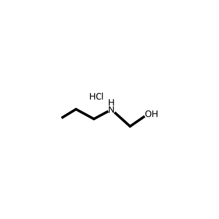 CCCNCO.Cl